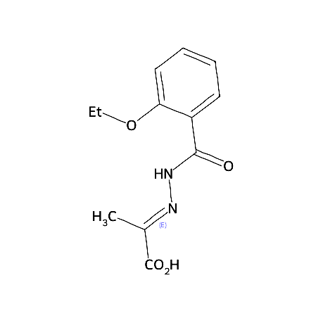 CCOc1ccccc1C(=O)N/N=C(\C)C(=O)O